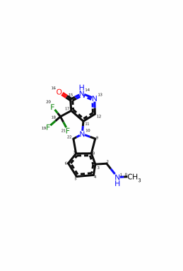 CNCc1cccc2c1CN(c1cn[nH]c(=O)c1C(F)(F)F)C2